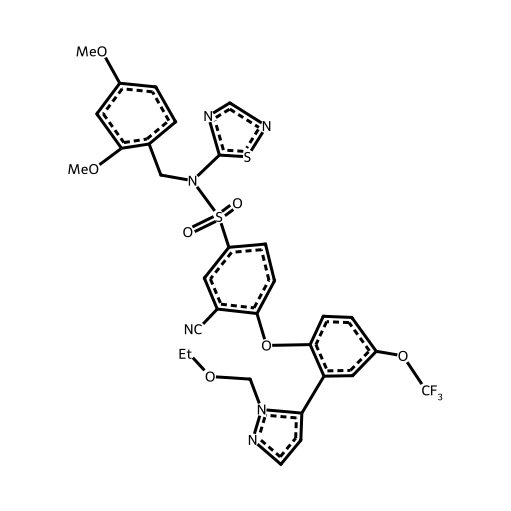 CCOCn1nccc1-c1cc(OC(F)(F)F)ccc1Oc1ccc(S(=O)(=O)N(Cc2ccc(OC)cc2OC)c2ncns2)cc1C#N